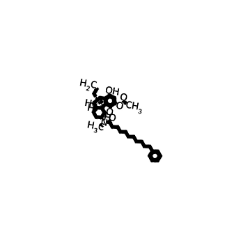 C=CCN1CC[C@]23c4c5c(O)cc(OC(C)=O)c4O[C@H]2[C@H](N(C)C(=O)CCCCCCCCCCc2ccccc2)CC[C@H]3[C@H]1C5